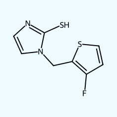 Fc1ccsc1Cn1ccnc1S